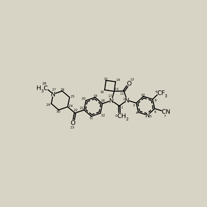 C=C1N(c2cnc(C#N)c(C(F)(F)F)c2)C(=O)C2(CCC2)N1c1ccc(C(=O)C2CCN(C)CC2)cc1